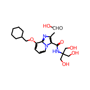 Cc1nc2c(OCC3CCCCC3)cccn2c1C(=O)NC(CO)(CO)CO.O=CO